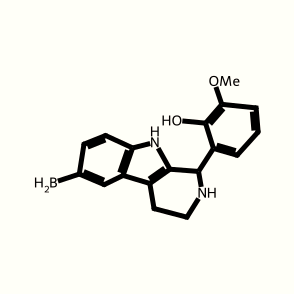 Bc1ccc2[nH]c3c(c2c1)CCNC3c1cccc(OC)c1O